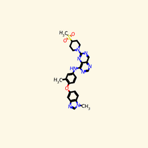 Cc1cc(Nc2ncnc3cnc(N4CCC(S(C)(=O)=O)CC4)nc23)ccc1Oc1ccc2c(c1)ncn2C